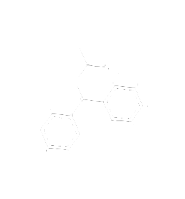 CC(N)SC(c1ccccc1)c1ccccc1